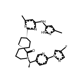 Cc1cc(Nc2cc(C)nc([C@H]3CC[C@]4(CCCN([C@H](C)c5ccc(-n6cc(F)cn6)nc5)C4=O)CC3)n2)[nH]n1